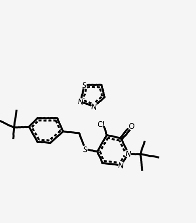 CC(C)(C)c1ccc(CSc2cnn(C(C)(C)C)c(=O)c2Cl)cc1.c1csnn1